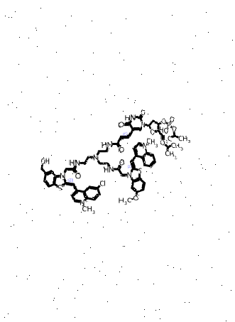 COc1ccc2c(c1)N(CC(=O)NCCN(CCNC(=O)/C=C/c1cn(C3CC(OP(=O)(O)OC(C)C)C(COC(C)C)O3)c(=O)[nH]c1=O)CCNC(=O)CN1/C(=C/c3cc[n+](C)c4ccc(Cl)cc34)Sc3ccc(CO)cc31)/C(=C/c1cc[n+](C)c3ccccc13)S2